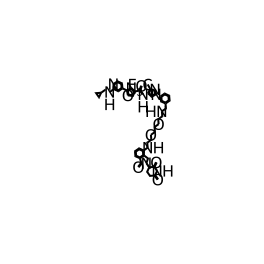 O=C1CCC(N2Cc3c(NCCOCCOCCNCc4cccc(-n5cc(NC(=O)c6coc(-c7ccnc(NCC8CC8)c7)n6)c(C(F)(F)F)n5)c4)cccc3C2=O)C(=O)N1